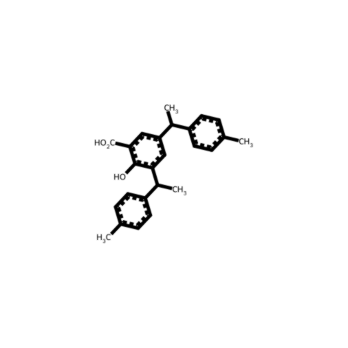 Cc1ccc(C(C)c2cc(C(=O)O)c(O)c(C(C)c3ccc(C)cc3)c2)cc1